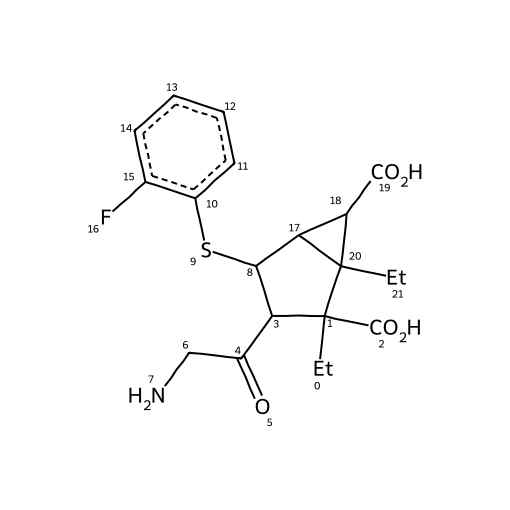 CCC1(C(=O)O)C(C(=O)CN)C(Sc2ccccc2F)C2C(C(=O)O)C21CC